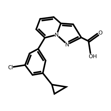 O=C(O)c1cc2cccc(-c3cc(Cl)cc(C4CC4)c3)n2n1